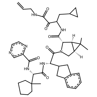 C=CCNC(=O)C(=O)C(CC1CC1)NC(=O)[C@@H]1[C@@H]2[C@H](CN1C(=O)[C@@H](NC(=O)[C@@H](NC(=O)c1cnccn1)C1(C)CCCCC1)C1Cc3ccccc3C1)C2(C)C